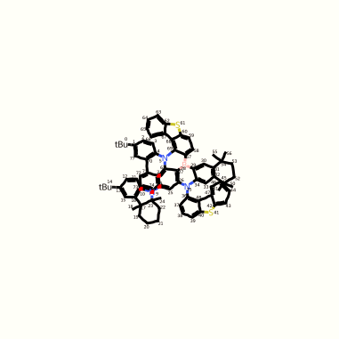 CC(C)(C)c1ccc(N2c3cc(N4c5ccc(C(C)(C)C)cc5C5(C)CCCCC45C)cc4c3B(c3cc5c(cc3N4c3cccc4sc6ccccc6c34)C(C)(C)CCC5(C)C)c3ccc4sc5ccccc5c4c32)c(-c2ccccc2)c1